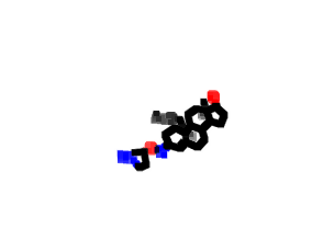 CC(=O)OC[C@]12CCC(=NOC3CCNC3)C=C1CCC1C2CC[C@]2(C)C(=O)CCC12